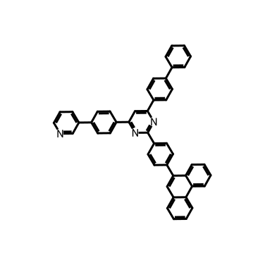 c1ccc(-c2ccc(-c3cc(-c4ccc(-c5cccnc5)cc4)nc(-c4ccc(-c5cc6ccccc6c6ccccc56)cc4)n3)cc2)cc1